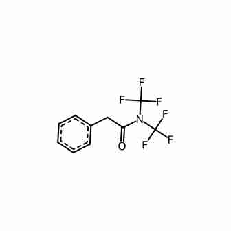 O=C(Cc1ccccc1)N(C(F)(F)F)C(F)(F)F